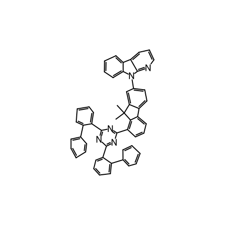 CC1(C)c2cc(-n3c4ccccc4c4cccnc43)ccc2-c2cccc(-c3nc(-c4ccccc4-c4ccccc4)nc(-c4ccccc4-c4ccccc4)n3)c21